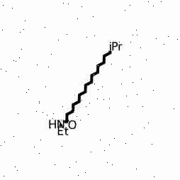 CCNC(=O)CCCCCCCCCCCCCCC(C)C